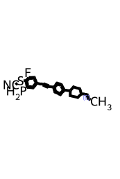 C/C=C/C1CCC(c2ccc(C#Cc3cc(F)c(SC#N)c(P)c3)cc2)CC1